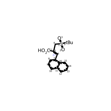 CC(C)(C)S(=O)(=O)C/C(=C/c1cccc2ccccc12)C(=O)O